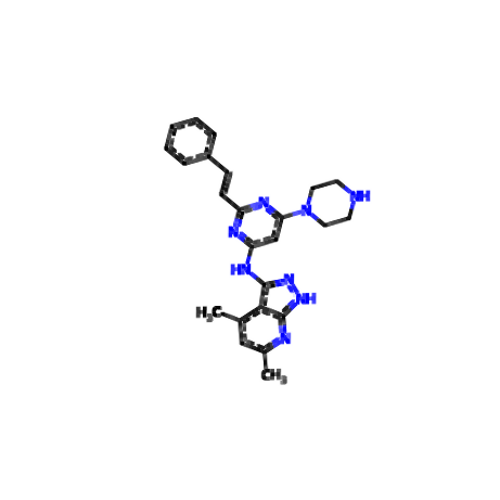 Cc1cc(C)c2c(Nc3cc(N4CCNCC4)nc(/C=C/c4ccccc4)n3)n[nH]c2n1